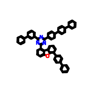 c1ccc(-c2ccc(-c3ccc(-c4nc(-c5cccc(-c6ccccc6)c5)nc(-c5cccc6oc7c(-c8ccc(-c9ccccc9)cc8)cccc7c56)n4)cc3)cc2)cc1